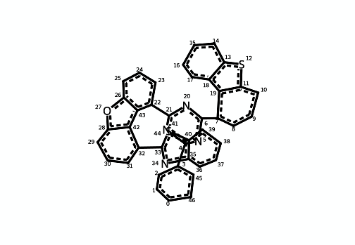 c1ccc(-c2nc(-c3cccc4sc5ccccc5c34)nc(-c3cccc4oc5cccc(-c6nc7ccccc7s6)c5c34)n2)cc1